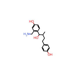 CC(CCc1ccc(O)cc1)C(O)c1ccc(O)cc1CN